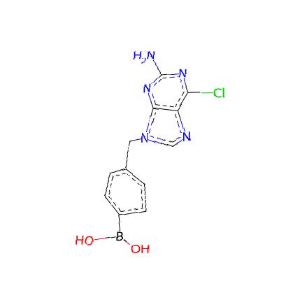 Nc1nc(Cl)c2ncn(Cc3ccc(B(O)O)cc3)c2n1